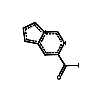 O=C(I)c1cc2cccn2cn1